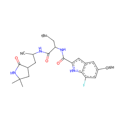 COc1cc(F)c2[nH]c(C(=O)NC(CC(C)(C)C)C(=O)NC(C#N)CC3CC(C)(C)NC3=O)cc2c1